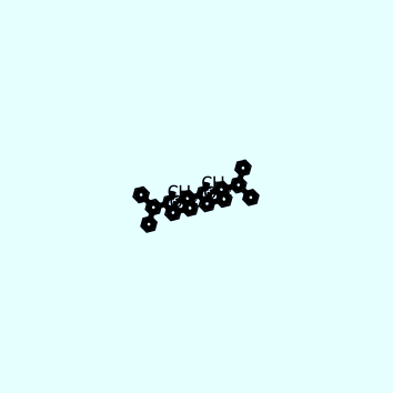 C=C/C=C(/c1cc(-c2ccccc2)cc(-c2ccccc2)c1)c1cccc2c1Oc1ccc(/C(=C/C=C)c3cccc4c3Oc3ccc(-c5cc(-c6ccccc6)cc(-c6ccccc6)c5)c5cccc-4c35)c3cccc-2c13